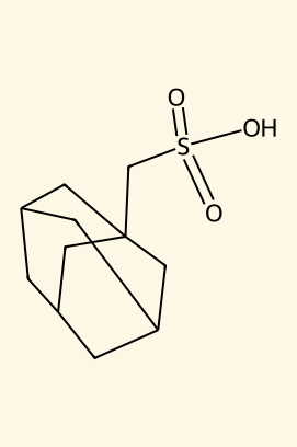 O=S(=O)(O)CC12CC3CC(CC(C3)C1)C2